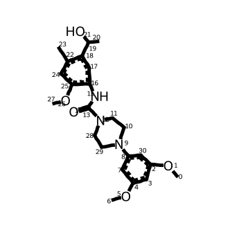 COc1cc(OC)cc(N2CCN(C(=O)Nc3cc(C(C)O)c(C)cc3OC)CC2)c1